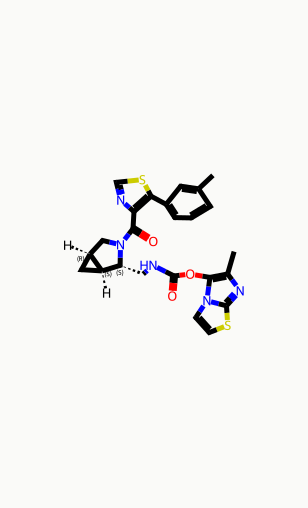 Cc1cccc(-c2scnc2C(=O)N2C[C@@H]3C[C@@H]3[C@H]2CNC(=O)Oc2c(C)nc3sccn23)c1